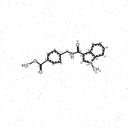 COC(=O)c1ccc(CNC(=O)c2cn(C)c3ccccc23)cc1